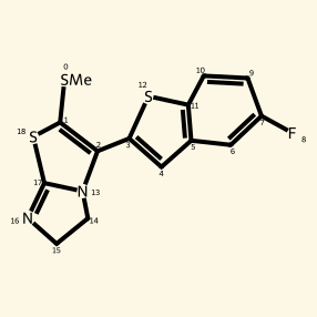 CSC1=C(c2cc3cc(F)ccc3s2)N2CCN=C2S1